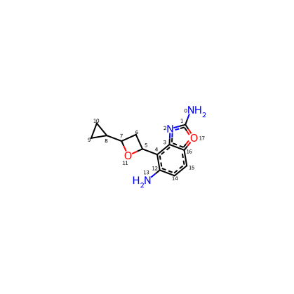 Nc1nc2c(C3CC(C4CC4)O3)c(N)ccc2o1